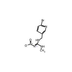 CN/C(=N/[N+](=O)[O-])NCc1ccc(Br)nc1